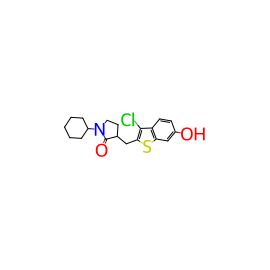 O=C1C(Cc2sc3cc(O)ccc3c2Cl)CCN1C1CCCCC1